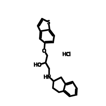 Cl.OC(CNC1CCc2ccccc2C1)COc1ccc2sccc2c1